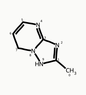 CC1=NC2=NC=C[CH]N2N1